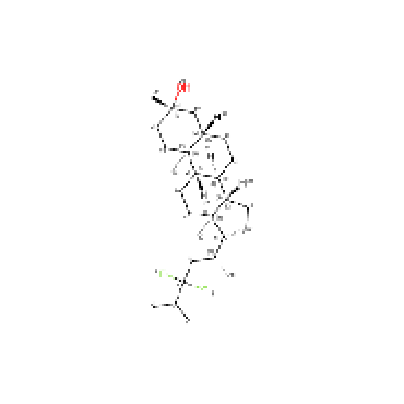 CC(C)C(F)(F)C[C@@H](C)[C@H]1CC[C@H]2[C@@H]3CC[C@H]4C[C@@](C)(O)CC[C@]4(C)[C@H]3CC[C@]12C